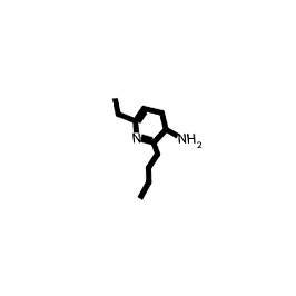 CCCCC1=NC(CC)=CCC1N